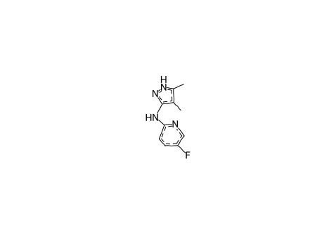 Cc1[nH]nc(Nc2ccc(F)cn2)c1C